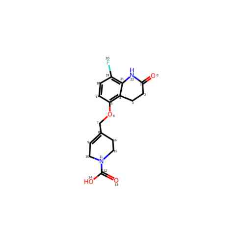 O=C1CCc2c(OCC3=CCN(C(=O)O)CC3)ccc(F)c2N1